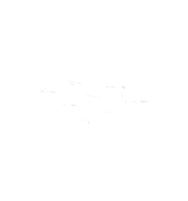 COc1ccc(-c2ccc(O)cc2C)cn1